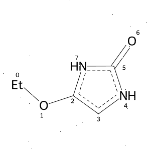 CCOc1c[nH]c(=O)[nH]1